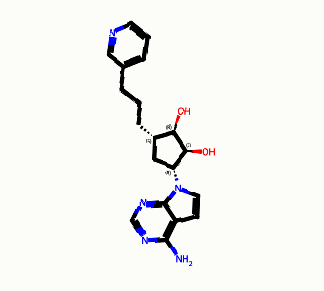 Nc1ncnc2c1ccn2[C@@H]1C[C@H](CCCc2cccnc2)[C@@H](O)[C@H]1O